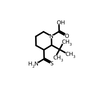 CC(C)(C)C1C(C(N)=S)CCCN1C(=O)O